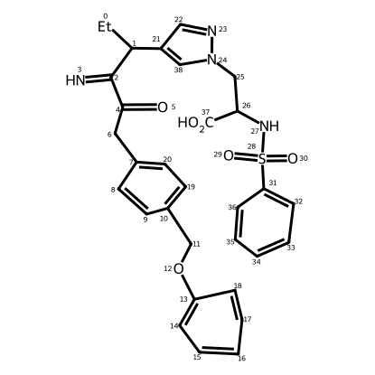 CCC(C(=N)C(=O)Cc1ccc(COc2ccccc2)cc1)c1cnn(CC(NS(=O)(=O)c2ccccc2)C(=O)O)c1